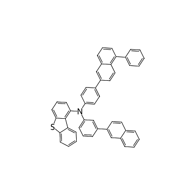 c1ccc(-c2cccc3cc(-c4ccc(N(c5cccc(-c6ccc7ccccc7c6)c5)c5cccc6sc7ccccc7c56)cc4)ccc23)cc1